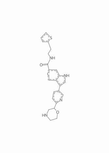 O=C(NCCc1cccs1)c1ccc2c(-c3ccc(C4CNCCO4)nc3)c[nH]c2c1